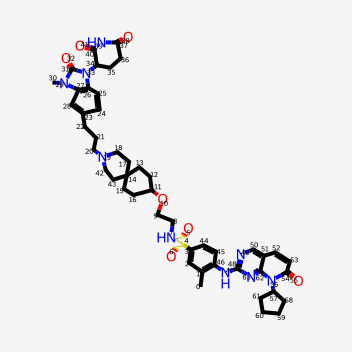 Cc1cc(S(=O)(=O)NCCOC2CCC3(CC2)CCN(CCCc2ccc4c(c2)n(C)c(=O)n4C2CCC(=O)NC2=O)CC3)ccc1Nc1ncc2ccc(=O)n(C3CCCC3)c2n1